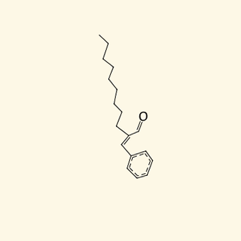 CCCCCCCCCC(C=O)=Cc1ccccc1